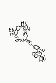 CCn1c(=O)c(OCC(=O)NC)cc2cc(Nc3nc(N4CCC(CN5CCC(c6ccc7c(c6)C(=O)N(C6CCC(=O)NC6=O)C7=O)CC5)CC4)ncc3Cl)ccc21